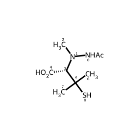 CC(=O)NN(C)[C@@H](C(=O)O)C(C)(C)S